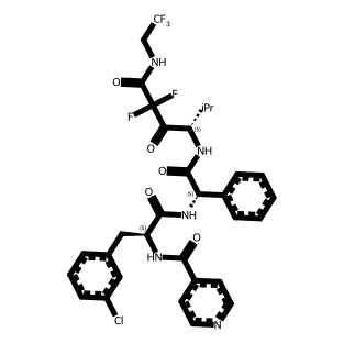 CC(C)[C@H](NC(=O)[C@@H](NC(=O)[C@H](Cc1cccc(Cl)c1)NC(=O)c1ccncc1)c1ccccc1)C(=O)C(F)(F)C(=O)NCC(F)(F)F